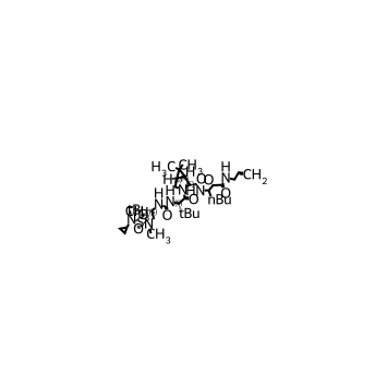 C=CCNC(=O)C(=O)C(CCCC)NC(=O)[C@@H]1[C@@H]2[C@H](CN1C(=O)[C@@H](NC(=O)N[C@H](CN(C)S(=O)(=O)N(C)C1CC1)C(C)(C)C)C(C)(C)C)C2(C)C